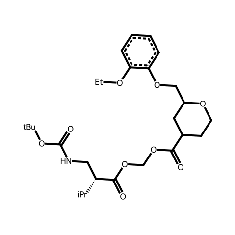 CCOc1ccccc1OCC1CC(C(=O)OCOC(=O)[C@@H](CNC(=O)OC(C)(C)C)C(C)C)CCO1